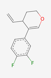 C=CC1CCOC=C1c1ccc(F)c(F)c1